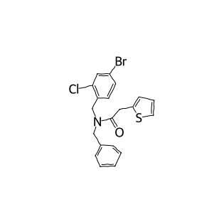 O=C(Cc1cccs1)N(Cc1ccccc1)Cc1ccc(Br)cc1Cl